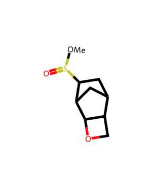 COS(=O)C1CC2CC1C1OCC21